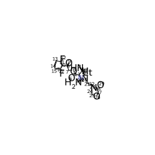 CCC(=N)/C(C(=O)OCC(=O)c1c(F)cccc1F)=C(/N)NCCN1CCOCC1=O